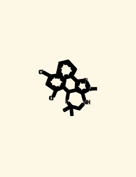 Cn1nc(-c2ccccn2)c2c1NCC(C)(C)SC2c1ccc(Cl)cc1Cl